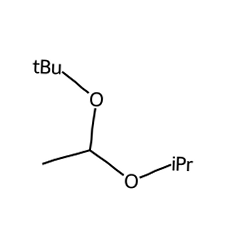 CC(C)OC(C)OC(C)(C)C